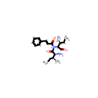 CC[C@H](C)[C@H](N)C(=O)N(C(=O)C=Cc1ccccc1)[C@H]([C]=O)[C@@H](C)CC